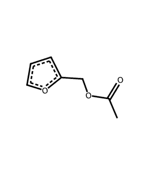 CC(=O)OCc1ccco1